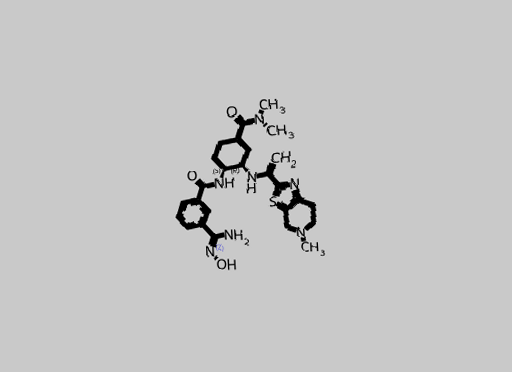 C=C(N[C@@H]1CC(C(=O)N(C)C)CC[C@@H]1NC(=O)c1cccc(/C(N)=N/O)c1)c1nc2c(s1)CN(C)CC2